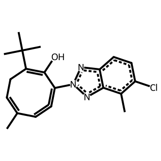 C/C1=C/C/C(C(C)(C)C)=C(/O)C(n2nc3ccc(Cl)c(C)c3n2)=C=C1